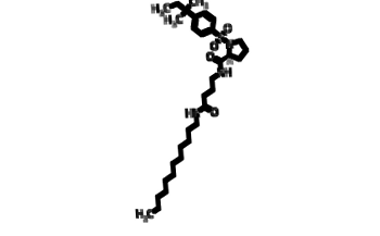 CCCCCCCCCCCCNC(=O)CCCNC(=O)[C@@H]1CCCN1S(=O)(=O)c1ccc(C(C)(C)CC)cc1